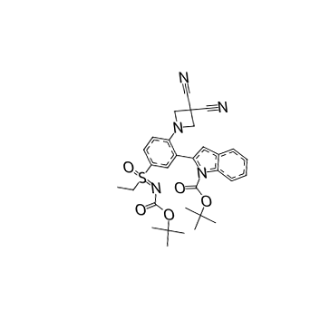 CCS(=O)(=NC(=O)OC(C)(C)C)c1ccc(N2CC(C#N)(C#N)C2)c(-c2cc3ccccc3n2C(=O)OC(C)(C)C)c1